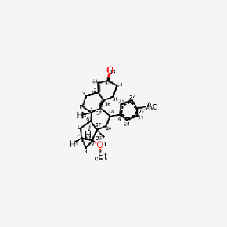 CCOC12C[C@@H]1C[C@H]1[C@@H]3CCC4=CC(=O)CCC4=C3[C@@H](c3ccc(C(C)=O)cc3)C[C@@]12C